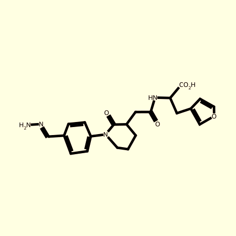 NN=Cc1ccc(N2CCCC(CC(=O)NC(Cc3ccoc3)C(=O)O)C2=O)cc1